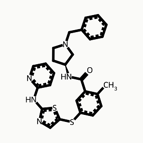 Cc1ccc(Sc2cnc(Nc3ccccn3)s2)cc1C(=O)N[C@H]1CCN(Cc2ccccc2)C1